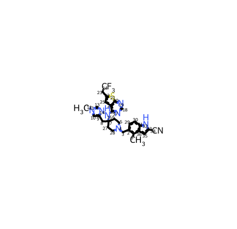 Cc1c(CN2CCC(Cc3cn(C)cn3)(Nc3ncnc4sc(CC(F)(F)F)cc34)CC2)ccc2[nH]c(C#N)cc12